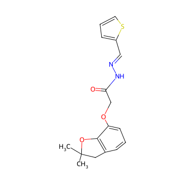 CC1(C)Cc2cccc(OCC(=O)NN=Cc3cccs3)c2O1